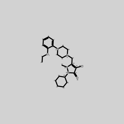 CCOc1ccccc1N1CCN(Cc2c(Cl)c(=O)n(C3CCCCC3)n2C)CC1